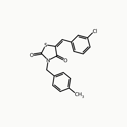 Cc1ccc(CN2C(=O)SC(=Cc3cccc(Cl)c3)C2=O)cc1